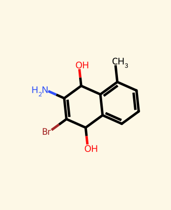 Cc1cccc2c1C(O)C(N)=C(Br)C2O